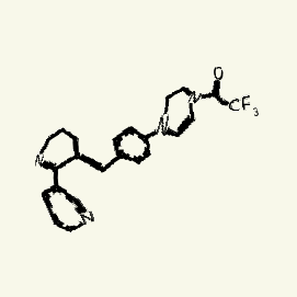 O=C(N1C=CN(c2ccc(/C=C3\CCCN=C3c3cccnc3)cc2)CC1)C(F)(F)F